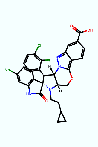 O=C(O)c1ccc2c3n(nc2c1)[C@@H]1[C@H](CO3)N(CCC2CC2)[C@@]2(C(=O)Nc3cc(Cl)ccc32)[C@H]1c1cccc(Cl)c1F